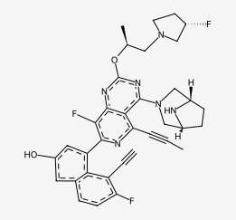 C#Cc1c(F)ccc2cc(O)cc(-c3nc(C#CC)c4c(N5C[C@H]6CC[C@@H](C5)N6)nc(O[C@@H](C)CN5CC[C@H](F)C5)nc4c3F)c12